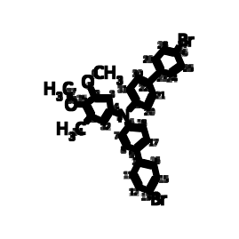 COc1cc(N(c2ccc(-c3ccc(Br)cc3)cc2)c2ccc(-c3ccc(Br)cc3)cc2)cc(C)c1OC